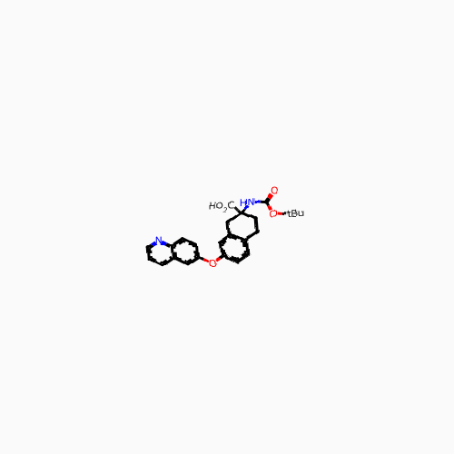 CC(C)(C)OC(=O)NC1(C(=O)O)CCc2ccc(Oc3ccc4ncccc4c3)cc2C1